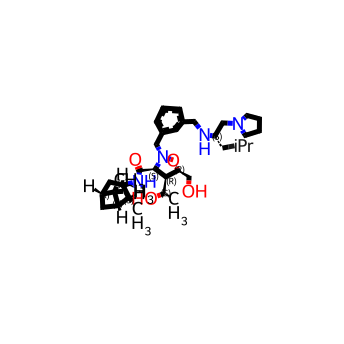 CC(C)C[C@@H](CN1CCCC1)NCc1cccc(CN2O[C@@H](CO)[C@@H]([C@H](C)O)[C@H]2C(=O)N[C@H]2C[C@H]3C[C@@H]([C@@H]2C)C3(C)C)c1